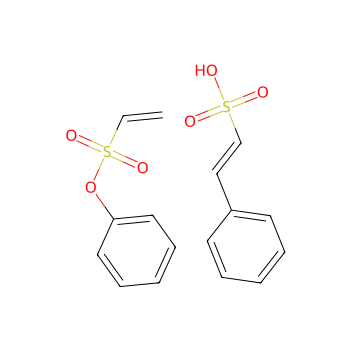 C=CS(=O)(=O)Oc1ccccc1.O=S(=O)(O)C=Cc1ccccc1